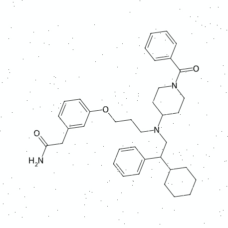 NC(=O)Cc1cccc(OCCCN(CC(c2ccccc2)C2CCCCC2)C2CCN(C(=O)c3ccccc3)CC2)c1